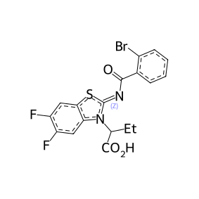 CCC(C(=O)O)n1/c(=N/C(=O)c2ccccc2Br)sc2cc(F)c(F)cc21